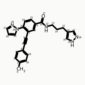 Cc1ccc(C#Cc2cc(C(=O)NCCCc3cn[nH]c3)ccc2-n2cccn2)cc1